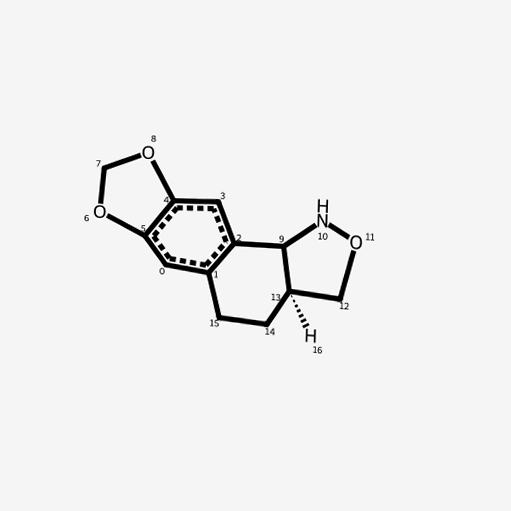 c1c2c(cc3c1OCO3)C1NOC[C@H]1CC2